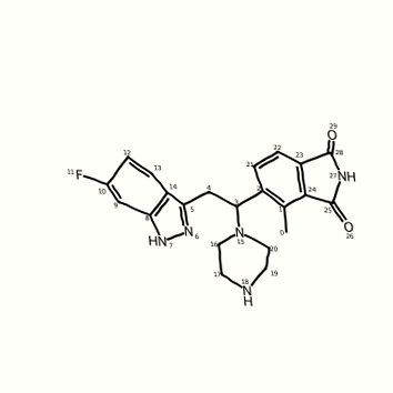 Cc1c(C(Cc2n[nH]c3cc(F)ccc23)N2CCNCC2)ccc2c1C(=O)NC2=O